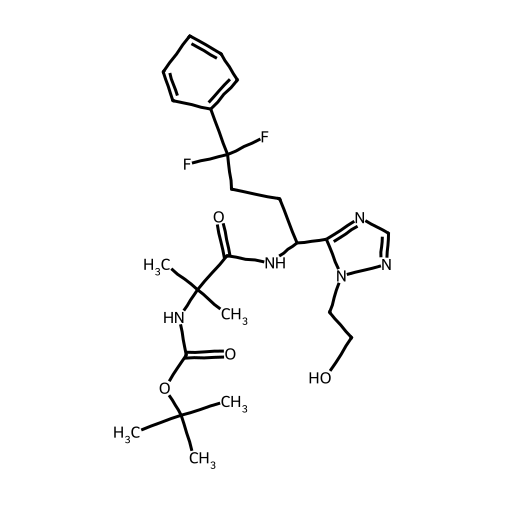 CC(C)(C)OC(=O)NC(C)(C)C(=O)NC(CCC(F)(F)c1ccccc1)c1ncnn1CCO